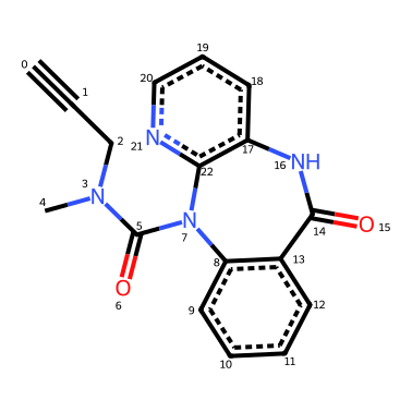 C#CCN(C)C(=O)N1c2ccccc2C(=O)Nc2cccnc21